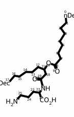 CCCCCCCCCCCCCCCCCC(=O)OC(CCCCCCCCCCCCCCC)CC(=O)NC(CCCN)C(=O)O